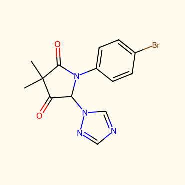 CC1(C)C(=O)C(n2cncn2)N(c2ccc(Br)cc2)C1=O